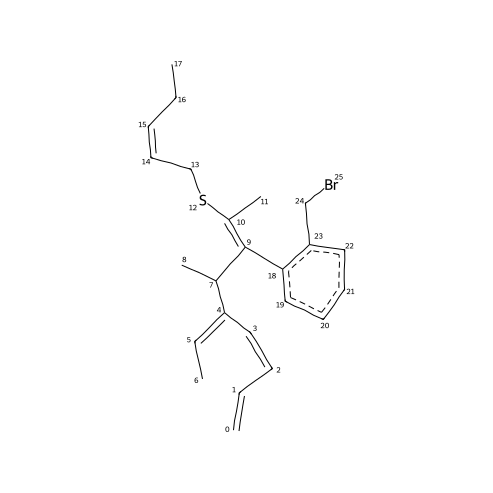 C=C/C=C\C(=C/C)C(C)/C(=C(/C)SC/C=C\CC)c1ccccc1CBr